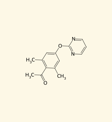 CC(=O)c1c(C)cc(Oc2ncccn2)cc1C